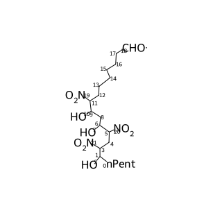 CCCCCC(O)C(CC(C(O)CC(O)C(CCCCCC[C]=O)[N+](=O)[O-])[N+](=O)[O-])[N+](=O)[O-]